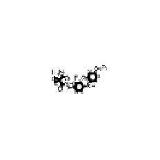 CC(C)Oc1ccc(Nc2ccc(CNC(=O)C3(C(N)=O)CC3)cc2)c(C(F)(F)F)c1